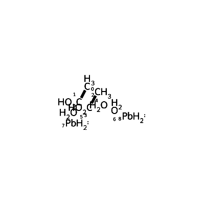 CC(=O)O.CC(=O)O.O.O.O.[PbH2].[PbH2]